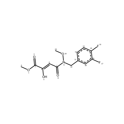 COC(=O)C(O)=CC(=O)N(Cc1ccc(F)c(F)c1)OC